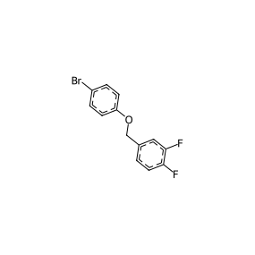 Fc1ccc(COc2ccc(Br)cc2)cc1F